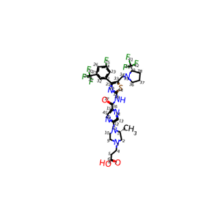 C[C@@H]1CN(CCC(=O)O)CCN1c1cnc(C(=O)Nc2nc(-c3cc(F)cc(C(F)(F)F)c3)c(CN3CCC[C@H]3C(F)(F)F)s2)cn1